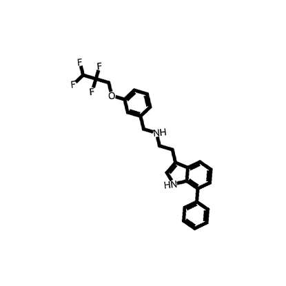 FC(F)C(F)(F)COc1cccc(CNCCc2c[nH]c3c(-c4ccccc4)cccc23)c1